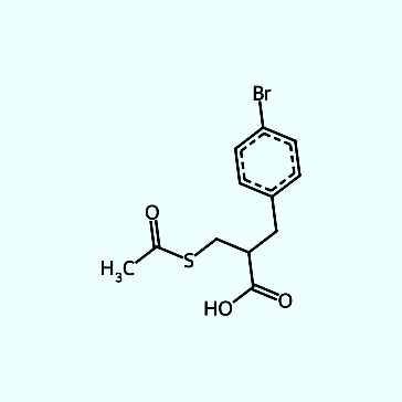 CC(=O)SCC(Cc1ccc(Br)cc1)C(=O)O